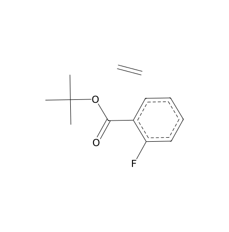 C=C.CC(C)(C)OC(=O)c1ccccc1F